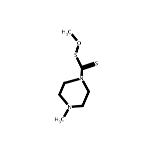 COSC(=S)N1CCN(C)CC1